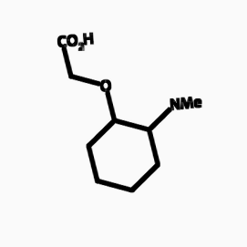 CNC1CCCCC1OCC(=O)O